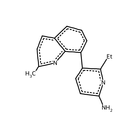 CCc1nc(N)ccc1-c1cccc2ccc(C)nc12